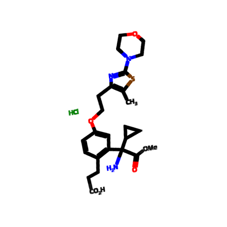 COC(=O)C(N)(c1cc(OCCc2nc(N3CCOCC3)sc2C)ccc1CCC(=O)O)C1CC1.Cl